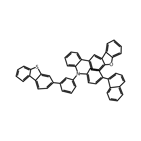 c1cc(-c2ccc3c(c2)sc2ccccc23)cc(N(c2ccc(-c3cccc4ccccc34)cc2)c2ccccc2-c2ccc3oc4ccccc4c3c2)c1